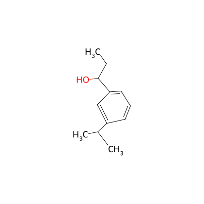 CCC(O)c1cccc(C(C)C)c1